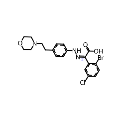 O=C(O)/C(=N\Nc1ccc(CCN2CCOCC2)cc1)c1cc(Cl)ccc1Br